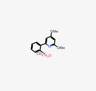 COc1cc(OC)nc(-c2ccccc2C(=O)O)c1.O